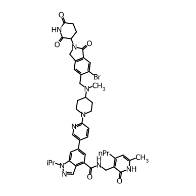 CCCc1cc(C)[nH]c(=O)c1CNC(=O)c1cc(-c2ccc(N3CCC(N(C)Cc4cc5c(cc4Br)C(=O)N(C4CCC(=O)NC4=O)C5)CC3)nc2)cc2c1cnn2C(C)C